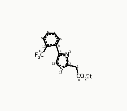 CCOC(=O)Cc1nc(-c2ccccc2C(F)(F)F)cs1